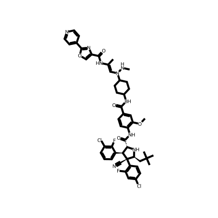 CNN(/C=C(\C)NC(=O)c1coc(-c2ccncc2)n1)C1CCC(BC(=O)c2ccc(NC(=O)[C@@H]3N[C@@H](CC(C)(C)C)[C@](C#N)(c4ccc(Cl)cc4F)[C@H]3c3cccc(Cl)c3F)c(OC)c2)CC1